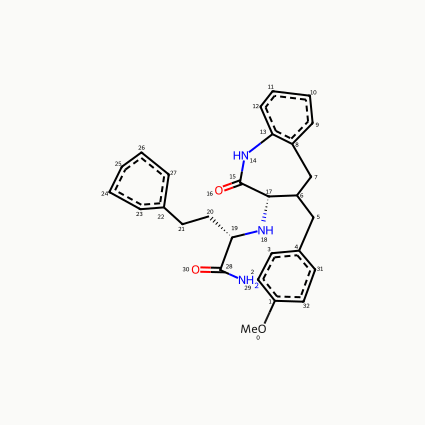 COc1ccc(CC2Cc3ccccc3NC(=O)[C@H]2N[C@@H](CCc2ccccc2)C(N)=O)cc1